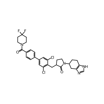 O=C(c1ccc(-c2cc(Cl)c(CC3CCN(C4CCc5[nH]cnc5C4)C3=O)c(Cl)c2)cc1)N1CCC(F)(F)CC1